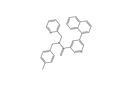 Cc1ccc(CN(Cc2ccccn2)C(=O)c2cncc(-c3cccc4ccccc34)c2)cc1